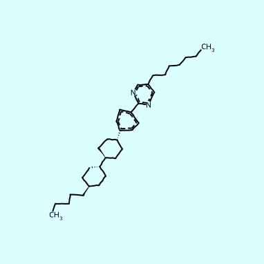 CCCCCCCc1cnc(-c2ccc([C@H]3CC[C@H]([C@H]4CC[C@H](CCCCC)CC4)CC3)cc2)nc1